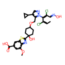 C\C=C(Cl)/C(=C(Cl)\C=N\O)n1ncc(C2CC2)c1COC1CCC(O)(c2nc3c(OC)cc(C(=O)O)cc3s2)CC1